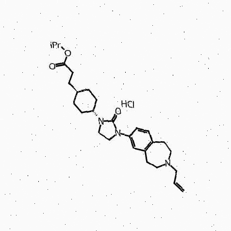 C=CCN1CCc2ccc(N3CCN([C@H]4CC[C@H](CCC(=O)OC(C)C)CC4)C3=O)cc2CC1.Cl